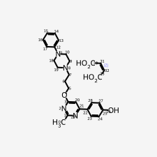 Cc1nc(OCCCN2CCN(c3ccccc3)CC2)cc(-c2ccc(O)cc2)n1.O=C(O)/C=C\C(=O)O